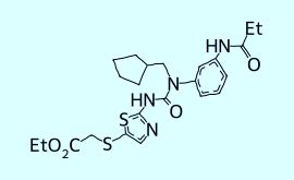 CCOC(=O)CSc1cnc(NC(=O)N(CC2CCCC2)c2cccc(NC(=O)CC)c2)s1